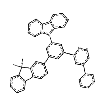 CC1(C)c2ccccc2-c2ccc(-c3cc(-c4cc(-c5ccccc5)cnn4)cc(-n4c5ccccc5c5ccccc54)c3)cc21